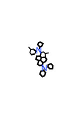 CC1C=C(N(C2=c3ccc4ccc(N(c5ccccc5)c5ccccc5)c5ccc(c3c45)C(C)C2)c2ccccc2)C=CC1